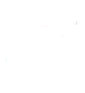 COC(=O)C12CC(/C=C\F)(C1)C2